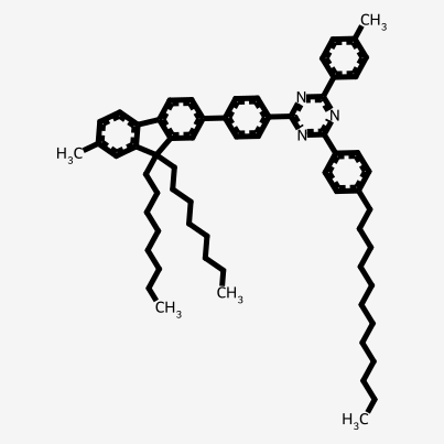 CCCCCCCCCCCCc1ccc(-c2nc(-c3ccc(C)cc3)nc(-c3ccc(-c4ccc5c(c4)C(CCCCCCCC)(CCCCCCCC)c4cc(C)ccc4-5)cc3)n2)cc1